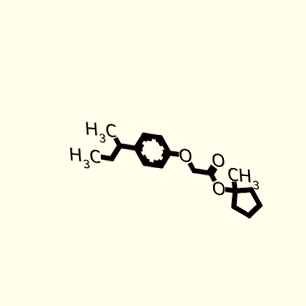 CCC(C)c1ccc(OCC(=O)OC2(C)CCCC2)cc1